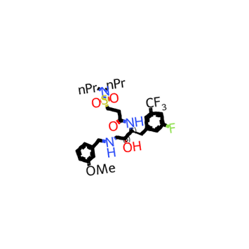 CCCN(CCC)S(=O)(=O)CCC(=O)N[C@@H](Cc1cc(F)cc(C(F)(F)F)c1)[C@@H](O)CNCc1cccc(OC)c1